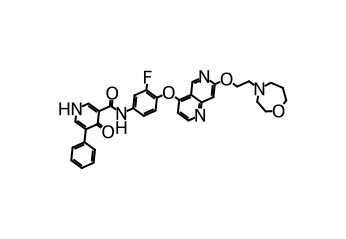 O=C(Nc1ccc(Oc2ccnc3cc(OCCN4CCCOCC4)ncc23)c(F)c1)c1c[nH]cc(-c2ccccc2)c1=O